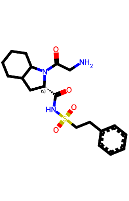 NCC(=O)N1C2CCCCC2C[C@H]1C(=O)NS(=O)(=O)CCc1ccccc1